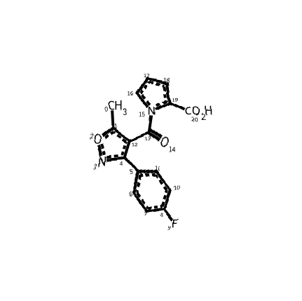 Cc1onc(-c2ccc(F)cc2)c1C(=O)n1cccc1C(=O)O